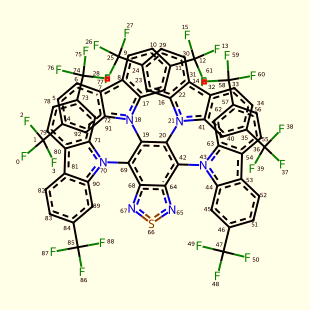 FC(F)(F)c1ccc2c3ccc(C(F)(F)F)cc3n(-c3c(-n4c5cc(C(F)(F)F)ccc5c5ccc(C(F)(F)F)cc54)c(-n4c5cc(C(F)(F)F)ccc5c5ccc(C(F)(F)F)cc54)c4nsnc4c3-n3c4cc(C(F)(F)F)ccc4c4ccc(C(F)(F)F)cc43)c2c1